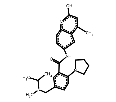 Cc1cc(O)nc2ccc(NC(=O)c3cc(CN(C)C(C)C)ccc3N3CCCC3)cc12